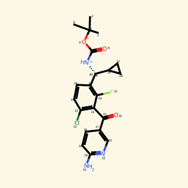 CC(C)(C)OC(=O)N[C@@H](c1ccc(Cl)c(C(=O)c2ccc(N)nc2)c1F)C1CC1